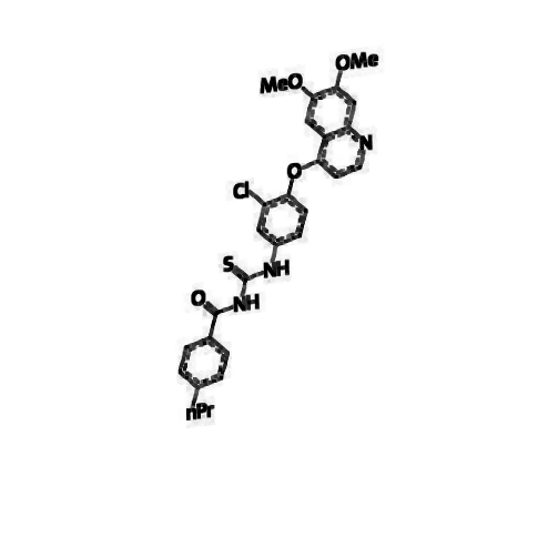 CCCc1ccc(C(=O)NC(=S)Nc2ccc(Oc3ccnc4cc(OC)c(OC)cc34)c(Cl)c2)cc1